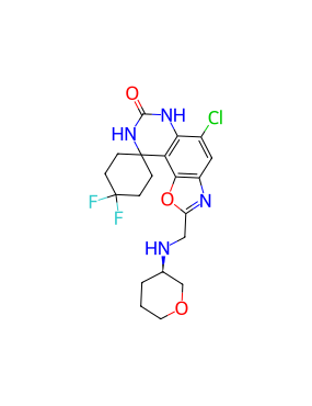 O=C1Nc2c(Cl)cc3nc(CN[C@@H]4CCCOC4)oc3c2C2(CCC(F)(F)CC2)N1